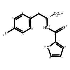 O=C(N[C@H](Cc1ccc(F)cc1)C(=O)O)c1ccco1